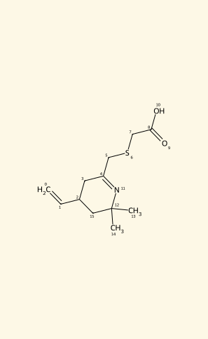 C=CC1CC(CSCC(=O)O)=NC(C)(C)C1